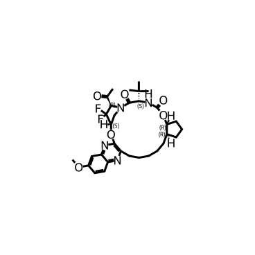 COc1ccc2nc3c(nc2c1)O[C@H]1CN(C(=O)[C@H](C(C)(C)C)NC(=O)O[C@@H]2CCC[C@H]2CCCCC3)[C@H](C(C)=O)C1(F)F